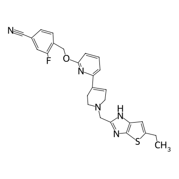 CCc1cc2[nH]c(CN3CC=C(c4cccc(OCc5ccc(C#N)cc5F)n4)CC3)nc2s1